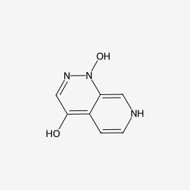 OC1=C2C=CNC=C2N(O)N=C1